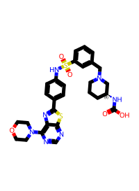 O=C(O)N[C@@H]1CCCN(Cc2cccc(S(=O)(=O)Nc3ccc(-c4nc5c(N6CCOCC6)ncnc5s4)cc3)c2)C1